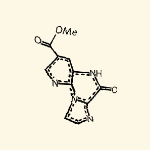 COC(=O)c1cnc2c(c1)[nH]c(=O)c1nccn12